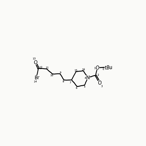 CC(C)(C)OC(=O)N1CCC(CCCCC(=O)Br)CC1